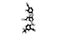 N#Cc1ccc(O[C@H]2CN([S+]([O-])c3ccc(C(F)(F)F)cc3C#N)C[C@]2(O)CCO)cc1F